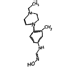 CCN1CCN(c2ccc(N/C=N/O)cc2C)CC1